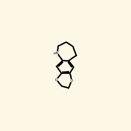 c1c2c(cc3c1OCCO3)NCCCC2